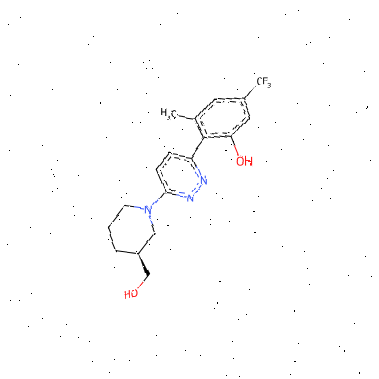 Cc1cc(C(F)(F)F)cc(O)c1-c1ccc(N2CCC[C@H](CO)C2)nn1